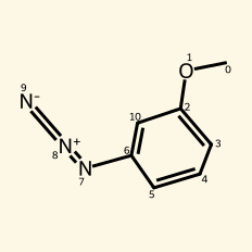 COc1cccc(N=[N+]=[N-])c1